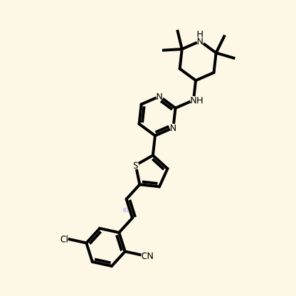 CC1(C)CC(Nc2nccc(-c3ccc(/C=C/c4cc(Cl)ccc4C#N)s3)n2)CC(C)(C)N1